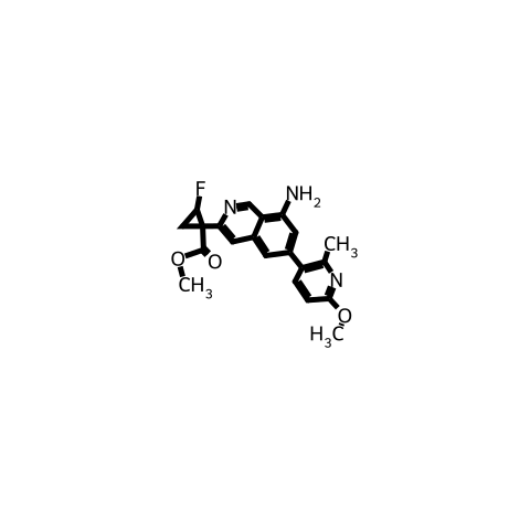 COC(=O)C1(c2cc3cc(-c4ccc(OC)nc4C)cc(N)c3cn2)CC1F